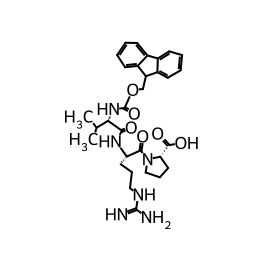 CC(C)[C@H](NC(=O)OCC1c2ccccc2-c2ccccc21)C(=O)N[C@@H](CCCNC(=N)N)C(=O)N1CCC[C@H]1C(=O)O